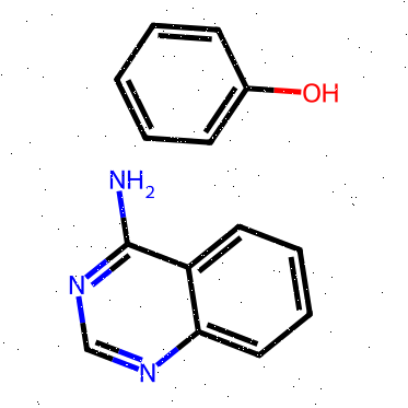 Nc1ncnc2ccccc12.Oc1ccccc1